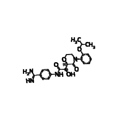 CC(C)Oc1ccccc1N1CCO[C@H]([C@@H](O)C(=O)Nc2ccc(C(=N)N)cc2)C1=O